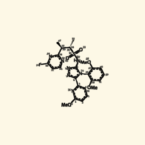 COc1cccc(-c2nnc(NS(=O)(=O)[C@@H](C)[C@H](C)c3nccc(F)n3)n2-c2c(OC)cccc2OC)n1